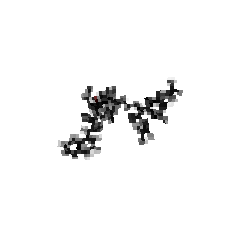 CC(C)C[C@@H]1[C@@H]2[C@@H]3C=N[C@@]1(C(=O)NCc1cccc4ccccc14)C[C@@H]3CN2CCCN(C(=O)OC(C)(C)C)C(N)=NC(=O)OC(C)(C)C